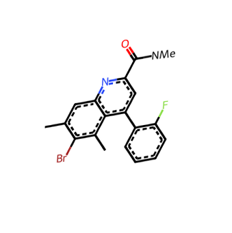 CNC(=O)c1cc(-c2ccccc2F)c2c(C)c(Br)c(C)cc2n1